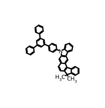 CC1(C)c2ccccc2-c2c1ccc1cc3c(cc21)c1ccccc1n3-c1ccc(-c2cc(-c3ccccc3)cc(-c3ccccc3)c2)cc1